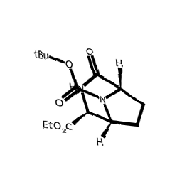 CCOC(=O)[C@H]1NC(=O)[C@@H]2CC[C@H]1N2C(=O)OC(C)(C)C